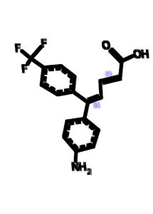 Nc1ccc(/C(=C/C=C/C(=O)O)c2ccc(C(F)(F)F)cc2)cc1